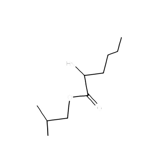 CCCCC(S)C(=O)OCC(C)C